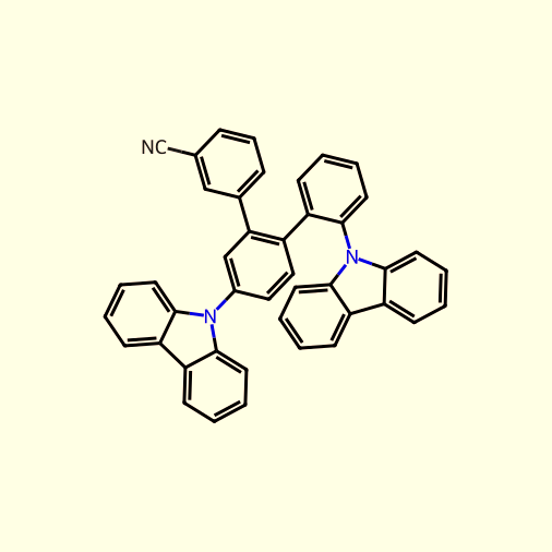 N#Cc1cccc(-c2cc(-n3c4ccccc4c4ccccc43)ccc2-c2ccccc2-n2c3ccccc3c3ccccc32)c1